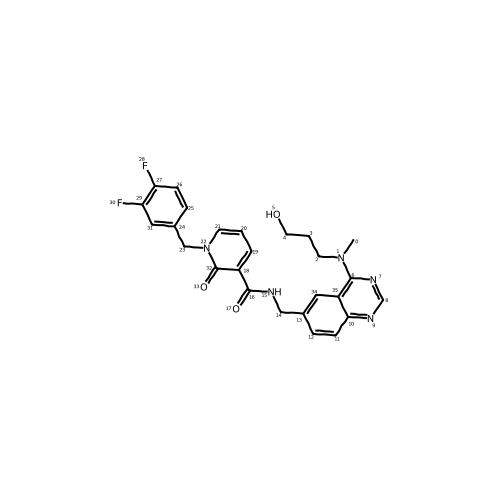 CN(CCCO)c1ncnc2ccc(CNC(=O)c3cccn(Cc4ccc(F)c(F)c4)c3=O)cc12